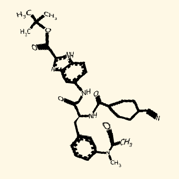 CC(=O)N(C)c1cccc(C[C@H](NC(=O)C2CCC(C#N)CC2)C(=O)Nc2ccc3[nH]c(C(=O)OC(C)(C)C)nc3c2)c1